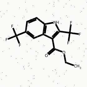 CCOC(=O)c1c(C(F)(F)F)[nH]c2ccc(C(F)(F)F)cc12